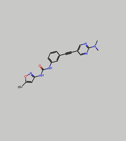 CN(C)c1ncc(C#Cc2cccc(NC(=O)Nc3cc(C(C)(C)C)on3)c2)cn1